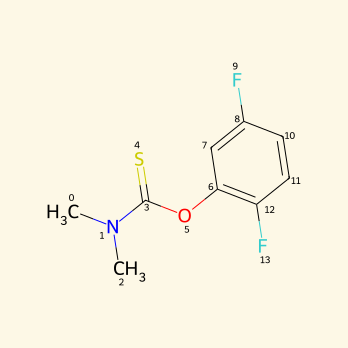 CN(C)C(=S)Oc1cc(F)ccc1F